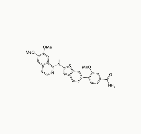 COc1cc2ncnc(Nc3nc4ccc(-c5ccc(C(N)=O)cc5OC)cc4s3)c2cc1OC